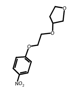 O=[N+]([O-])c1ccc(OCCOC2CCOC2)cc1